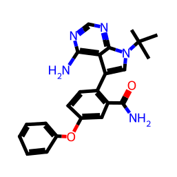 CC(C)(C)n1cc(-c2ccc(Oc3ccccc3)cc2C(N)=O)c2c(N)ncnc21